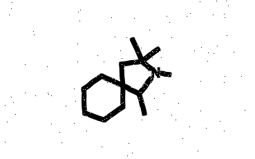 CC1N(C)C(C)(C)CC12CCCCC2